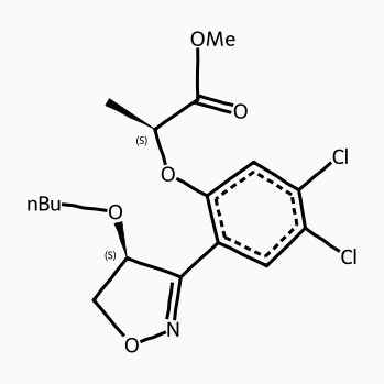 CCCCO[C@@H]1CON=C1c1cc(Cl)c(Cl)cc1O[C@@H](C)C(=O)OC